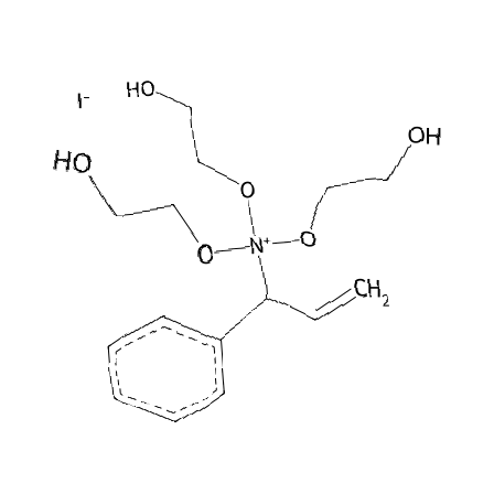 C=CC(c1ccccc1)[N+](OCCO)(OCCO)OCCO.[I-]